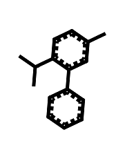 C[C](C)c1ccc(C)cc1-c1ccccc1